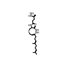 C=C(CCC(=O)NC1CSC/C=C(/CC/C=C(\C)CCC=C(C)C)NNC1=C)NN